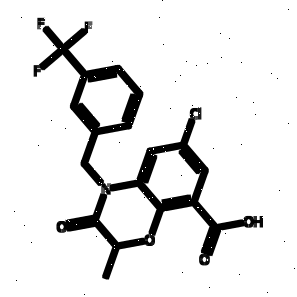 CC1Oc2c(C(=O)O)cc(Cl)cc2N(Cc2cccc(C(F)(F)F)c2)C1=O